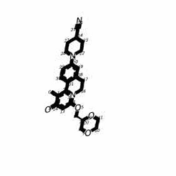 Cc1c2n(c(OC[C@@H]3COCCO3)cc1=O)CCc1cc(N3CCC(C#N)CC3)ccc1-2